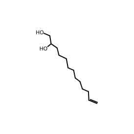 C=CCCCCCCCCCC(O)CO